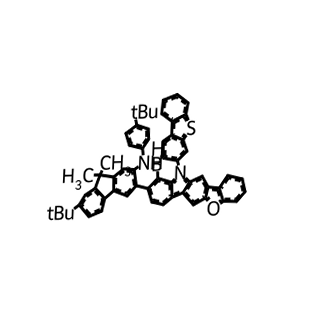 CC(C)(C)c1ccc(Nc2cc3c(cc2-c2ccc4c5cc6oc7ccccc7c6cc5n5c4c2Bc2cc4c(cc2-5)sc2ccccc24)-c2ccc(C(C)(C)C)cc2C3(C)C)cc1